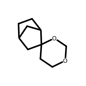 C1CC2(CC3CCC2C3)OCO1